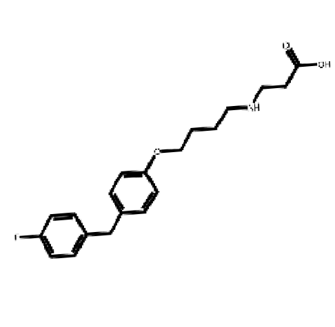 O=C(O)CCNCCCCOc1ccc(Cc2ccc(F)cc2)cc1